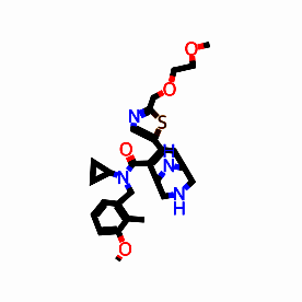 COCCOCc1ncc(C2=C(C(=O)N(Cc3cccc(OC)c3C)C3CC3)C3CNCC(C2)N3)s1